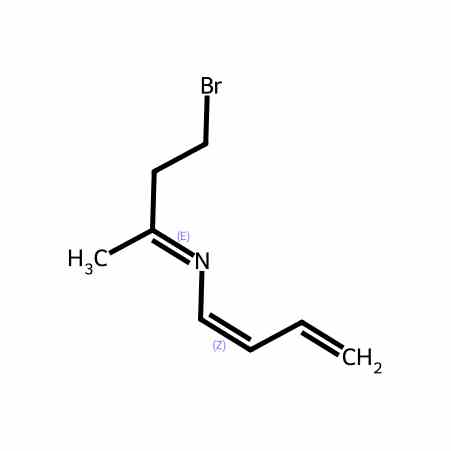 C=C/C=C\N=C(/C)CCBr